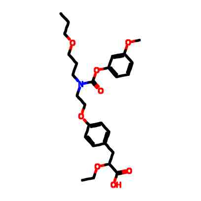 CCCOCCCN(CCOc1ccc(CC(OCC)C(=O)O)cc1)C(=O)Oc1cccc(OC)c1